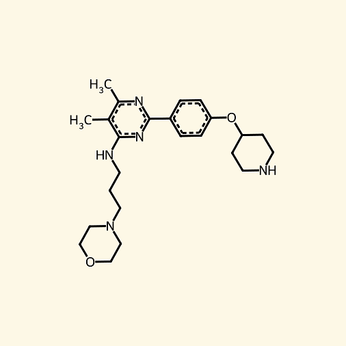 Cc1nc(-c2ccc(OC3CCNCC3)cc2)nc(NCCCN2CCOCC2)c1C